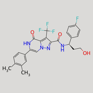 Cc1ccc(-c2cn3nc(C(=O)N[C@H](CCO)c4ccc(F)cc4)c(C(F)(F)F)c3c(=O)[nH]2)cc1C